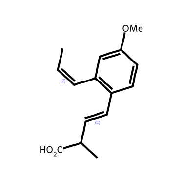 C/C=C\c1cc(OC)ccc1/C=C/C(C)C(=O)O